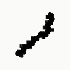 C=CC(=O)Nc1cccc(C(=O)Nc2ccc(Nc3n[nH]c4c3CN(C(=O)N[C@H](CN(C)C)c3cccc(/C=C/C(=O)Nc5ccc(C(=O)Nc6ccc(Nc7n[nH]c8c7CN(C(=O)N[C@H](CN(C)C)c7ccccc7)C8(C)C)cc6)cc5)c3)C4(C)C)cc2)c1